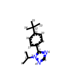 CC(C)n1ncnc1-c1ccc(C(C)(C)C)cc1